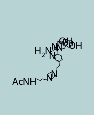 CCCCc1nc2c(N)nc3cc(CCCN4CCN(CCCCNC(C)=O)CC4)ccc3c2n1CC(C)(CO)CO